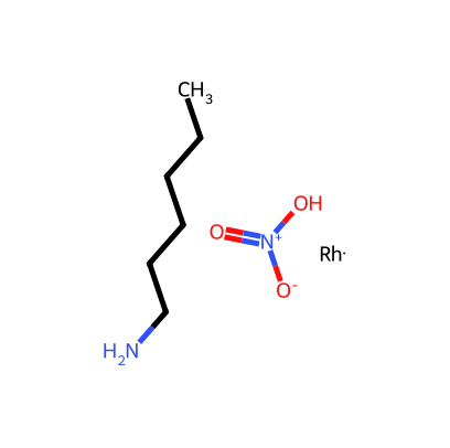 CCCCCCN.O=[N+]([O-])O.[Rh]